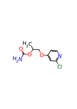 CC(COc1ccnc(Cl)c1)OC(N)=O